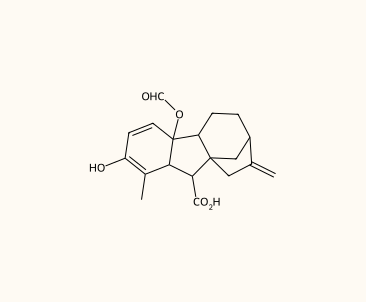 C=C1CC23CC1CCC2C1(OC=O)C=CC(O)=C(C)C1C3C(=O)O